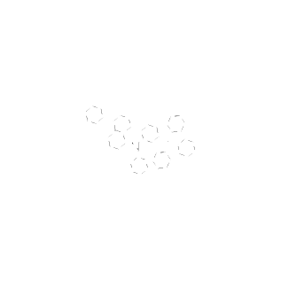 c1ccc(-c2ccc3c4c(cccc24)N(c2ccccc2)c2c-3ccc3c2-c2ccccc2C3(c2ccccc2)c2ccccc2)cc1